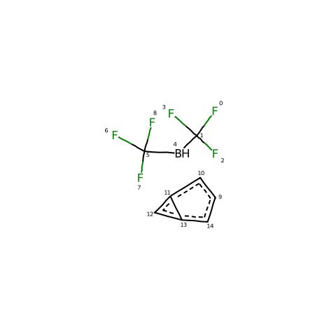 FC(F)(F)BC(F)(F)F.c1cc2cc-2c1